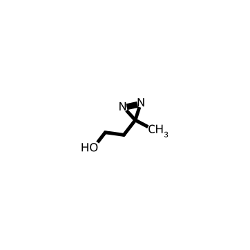 CC1(CCO)N=N1